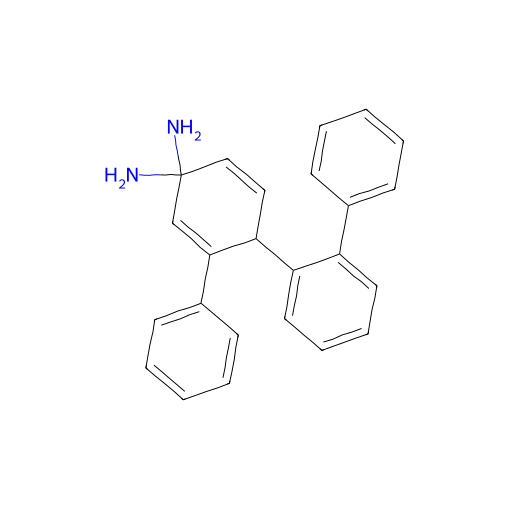 NC1(N)C=CC(c2ccccc2-c2ccccc2)C(c2ccccc2)=C1